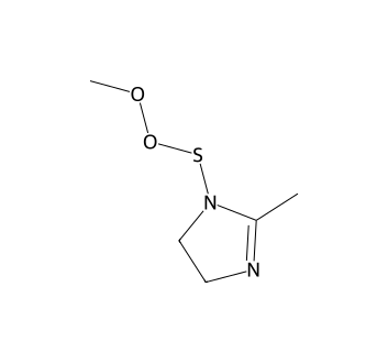 COOSN1CCN=C1C